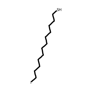 SCCCCCCCCCCCCI